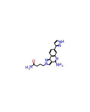 NC(=O)CCCn1cc2c(N)nc3cc(-c4cc[nH]n4)ccc3c2n1